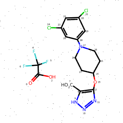 O=C(O)C(F)(F)F.O=C(O)c1[nH]nnc1OC1CCN(c2cc(Cl)cc(Cl)c2)CC1